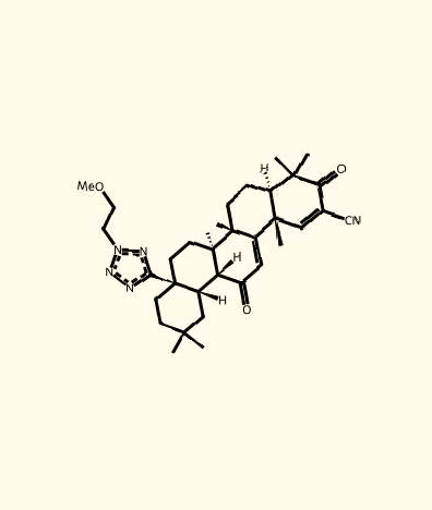 COCCn1nnc([C@]23CCC(C)(C)C[C@H]2[C@H]2C(=O)C=C4[C@@]5(C)C=C(C#N)C(=O)C(C)(C)[C@@H]5CC[C@@]4(C)[C@]2(C)CC3)n1